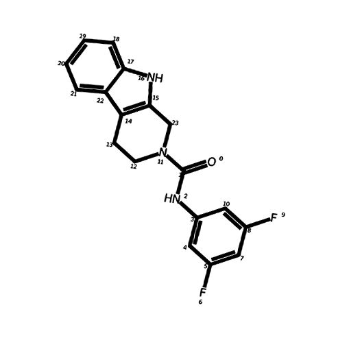 O=C(Nc1cc(F)cc(F)c1)N1CCc2c([nH]c3ccccc23)C1